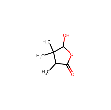 CC1C(=O)OC(O)C1(C)C